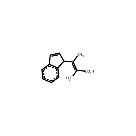 CC(C(=O)O)=C(C)C1C=Cc2ccccc21